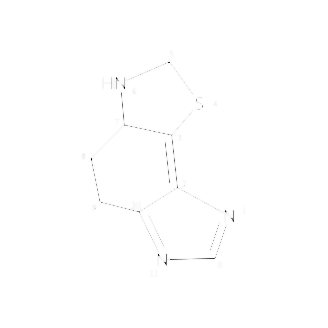 C1=NC2=C3SCNC3CCC2=N1